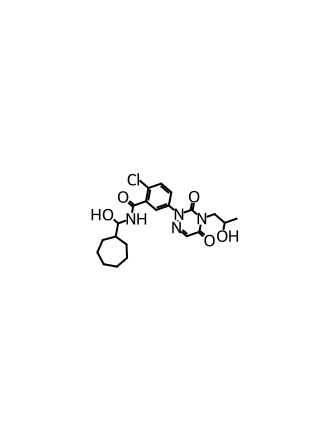 CC(O)Cn1c(=O)cnn(-c2ccc(Cl)c(C(=O)NC(O)C3CCCCCC3)c2)c1=O